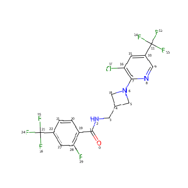 O=C(NCC1CN(c2ncc(C(F)(F)F)cc2Cl)C1)c1ccc(C(F)(F)F)cc1F